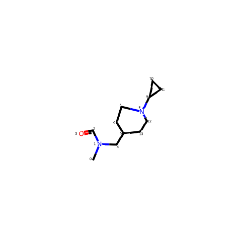 CN(C=O)CC1CCN(C2CC2)CC1